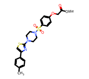 COC(=O)COc1ccc(S(=O)(=O)N2CCN(c3nc(-c4ccc(C)cc4)cs3)CC2)cc1